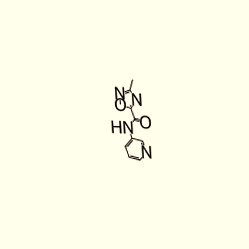 Cc1noc(C(=O)Nc2cccnc2)n1